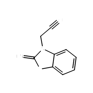 C#CCn1c(=N)sc2ccccc21